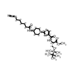 COC(=O)[C@H](CO[Si](C)(C)C(C)(C)C)NC(=O)c1csc(N2CCC(NC(=O)CCCCCN=[N+]=[N-])CC2)n1